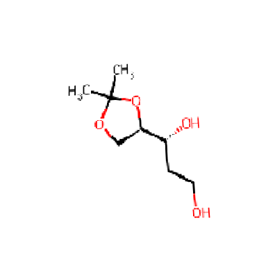 CC1(C)OC[C@H]([C@H](O)CCO)O1